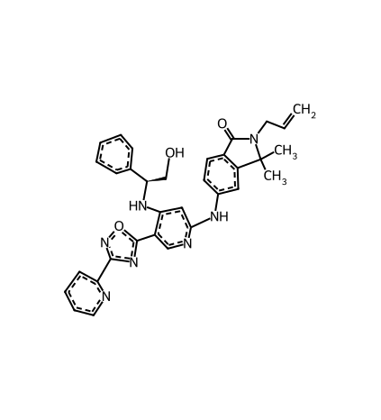 C=CCN1C(=O)c2ccc(Nc3cc(N[C@H](CO)c4ccccc4)c(-c4nc(-c5ccccn5)no4)cn3)cc2C1(C)C